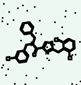 O=C(c1csc(Cc2c(Cl)cccc2Cl)n1)N(Cc1ccccc1)Cc1cccc(Cl)c1